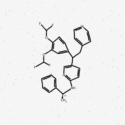 C[C@H](Nc1ccc(C(Cc2ccncc2)c2ccc(OC(F)F)c(OC(F)F)c2)cn1)c1ccccc1